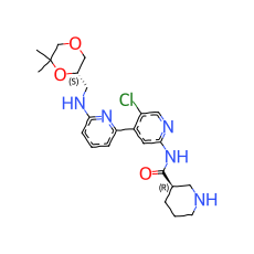 CC1(C)COC[C@H](CNc2cccc(-c3cc(NC(=O)[C@@H]4CCCNC4)ncc3Cl)n2)O1